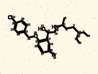 CCN(CC)CCC(C)NCC(O)c1cc(Br)ccc1OCc1ccc(Cl)cc1